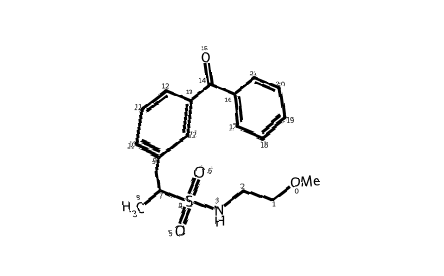 COCCNS(=O)(=O)C(C)c1cccc(C(=O)c2ccccc2)c1